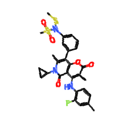 CSN(c1cccc(-c2c(C)n(C3CC3)c(=O)c3c(Nc4ccc(C)cc4F)c(C)c(=O)oc23)c1)S(C)(=O)=O